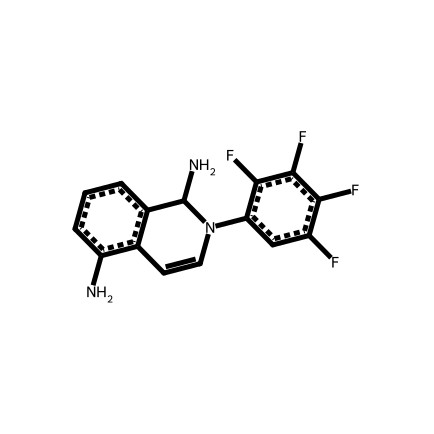 Nc1cccc2c1C=CN(c1cc(F)c(F)c(F)c1F)C2N